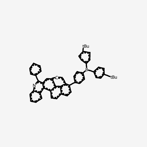 CC(C)(C)c1ccc(B(c2ccc(-c3ccc4ccc5c6c(cc7ccc3c4c75)c(-c3ccccc3)nc3ccccc36)cc2)c2ccc(C(C)(C)C)cc2)cc1